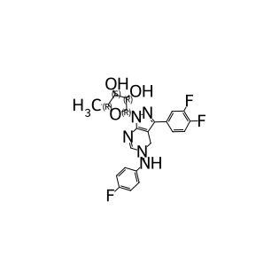 C[C@H]1O[C@@H](n2nc(-c3ccc(F)c(F)c3)c3c2N=CN(Nc2ccc(F)cc2)C3)[C@H](O)[C@@H]1O